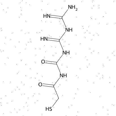 N=C(N)NC(=N)NC(=O)NC(=O)CS